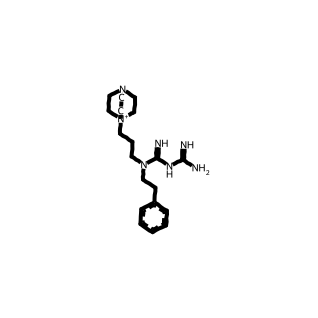 N=C(N)NC(=N)N(CCC[N+]12CCN(CC1)CC2)CCc1ccccc1